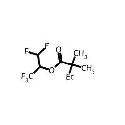 CCC(C)(C)C(=O)OC(C(F)F)C(F)(F)F